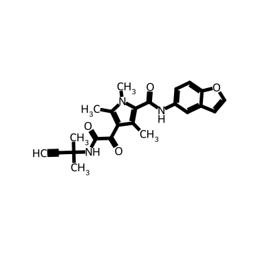 C#CC(C)(C)NC(=O)C(=O)c1c(C)c(C(=O)Nc2ccc3occc3c2)n(C)c1C